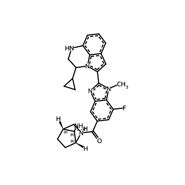 Cn1c(-c2cc3cccc4c3n2C(C2CC2)CN4)nc2cc(C(=O)N3C[C@H]4CC[C@@H]3[C@@H]4N)cc(F)c21